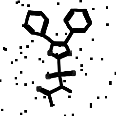 CC(=O)C(C)S(=O)(=O)c1nc(-c2ccccc2)c(-c2ccccc2)o1